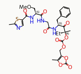 CC[C@@](C)(OC(=O)OCc1oc(=O)oc1C)C(=O)[C@H](Cc1ccccc1)NC(=O)CNC(=O)[C@H](COC)NC(=O)c1cnc(C)s1